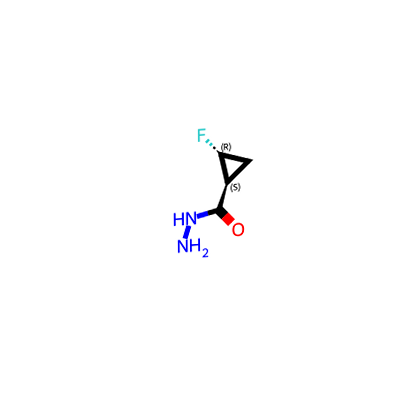 NNC(=O)[C@@H]1C[C@H]1F